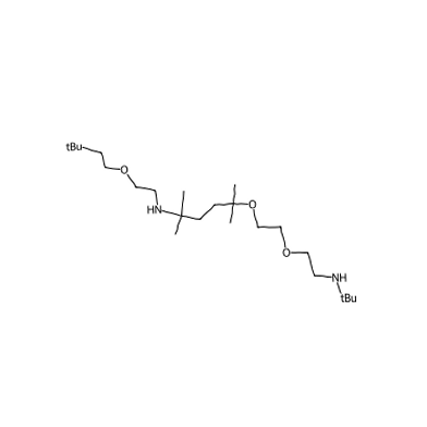 CC(C)(C)CCOCCNC(C)(C)CCC(C)(C)OCCOCCNC(C)(C)C